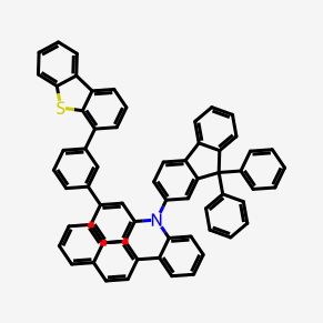 c1ccc(C2(c3ccccc3)c3ccccc3-c3ccc(N(c4cccc(-c5cccc(-c6cccc7c6sc6ccccc67)c5)c4)c4ccccc4-c4ccc5ccccc5c4)cc32)cc1